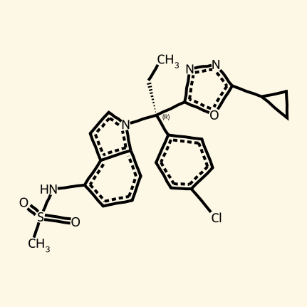 CC[C@@](c1ccc(Cl)cc1)(c1nnc(C2CC2)o1)n1ccc2c(NS(C)(=O)=O)cccc21